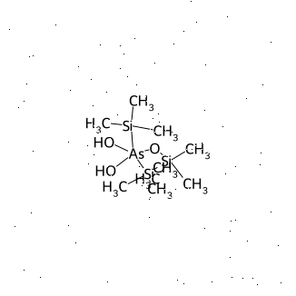 C[Si](C)(C)O[As](O)(O)([Si](C)(C)C)[Si](C)(C)C